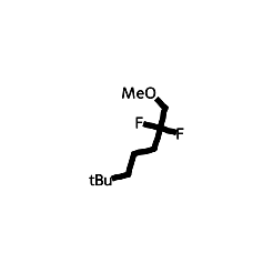 COCC(F)(F)CCCC(C)(C)C